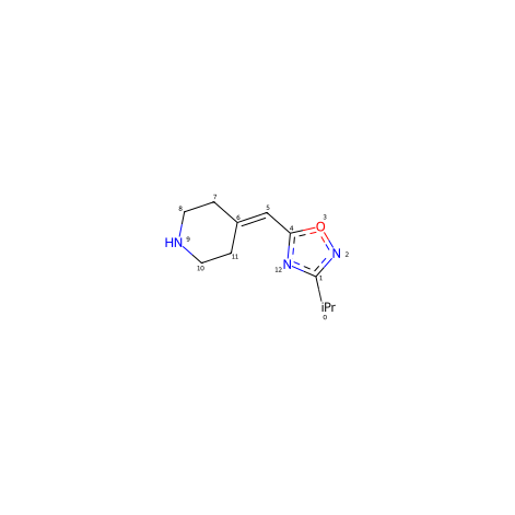 CC(C)c1noc(C=C2CCNCC2)n1